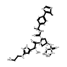 Cc1ncsc1-c1ccc([C@H](C)NC(=O)[C@@H]2C[C@@H](OP(=O)(OC(C)(C)C)OC(C)(C)C)CN2C(=O)[C@@H](c2cc(OCCO)no2)C(C)C)cc1